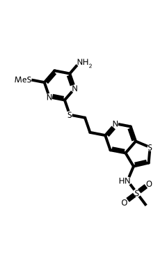 CSc1cc(N)nc(SCCc2cc3c(NS(C)(=O)=O)csc3cn2)n1